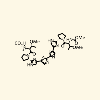 COC(=O)N[C@H](C(=O)N1CCC[C@H]1c1nc(-c2cnc(-c3ncc(-c4c[nH]c([C@@H]5CCCN5C(=O)[C@H]([C@@H](C)OC)N(C)C(=O)O)n4)s3)s2)c[nH]1)C(C)OC